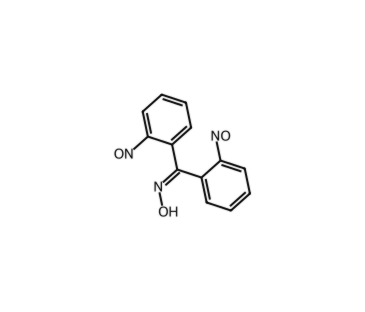 O=Nc1ccccc1C(=NO)c1ccccc1N=O